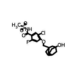 CS(=O)(=O)NC(=O)c1cc(Cl)c(OCC23CC4CC(O)(CC4C2)C3)cc1F